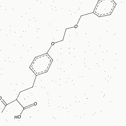 CC(=O)C(CCc1ccc(OCCOCc2ccccc2)cc1)C(=O)O